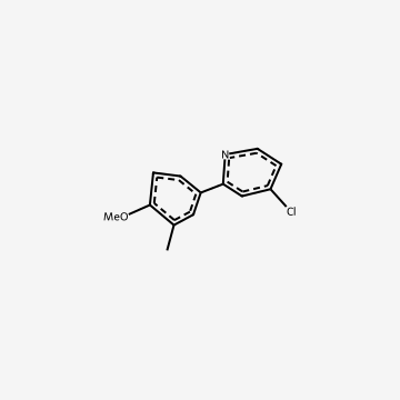 COc1ccc(-c2cc(Cl)ccn2)cc1C